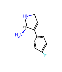 N[C@H]1CNCC=C1c1ccc(F)cc1